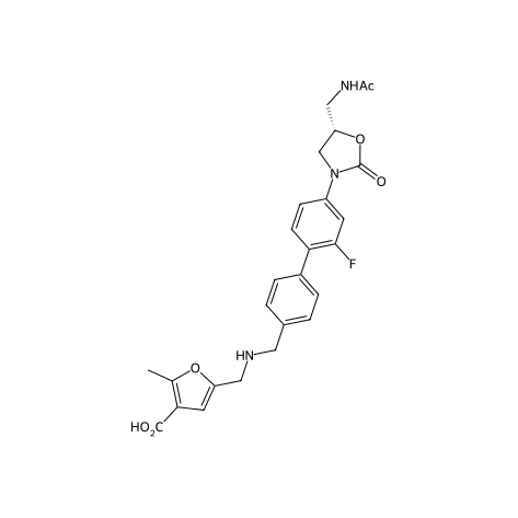 CC(=O)NC[C@H]1CN(c2ccc(-c3ccc(CNCc4cc(C(=O)O)c(C)o4)cc3)c(F)c2)C(=O)O1